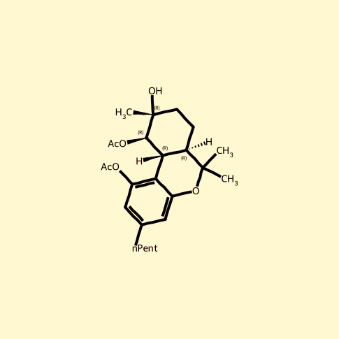 CCCCCc1cc(OC(C)=O)c2c(c1)OC(C)(C)[C@@H]1CC[C@@](C)(O)[C@H](OC(C)=O)[C@@H]21